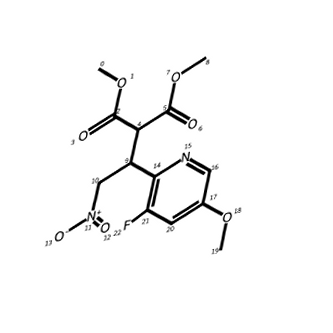 COC(=O)C(C(=O)OC)C(C[N+](=O)[O-])c1ncc(OC)cc1F